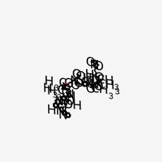 Cc1c(-c2ccc(N3CCc4cccc(C(=O)Nc5nc6ccccc6s5)c4C3)nc2C(=O)O)cnn1CC12CC3(OCCN(CCC(=O)O)C(=O)OCc4ccc(NC(=O)[C@H](C)NC(=O)[C@@H](NC(=O)CCCCCN5C(=O)C=CC5=O)C(C)C)cc4)CC4(C)CC(C)(C1)C4(C2)C3